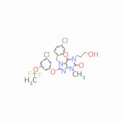 Cn1c(=O)n(CCCO)c(=O)c2c1nc(Oc1cc(Cl)cc(OC(C)(F)F)c1)n2Cc1ccc(Cl)cc1